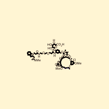 CNN(C)Cc1cc2ccccc2n1CCC(=O)NCCOCCOCCC(=O)Nc1cc(COC(=O)N(C)[C@@H](C)C(=O)O[C@H]2CC(=O)N(C)c3cc(cc(OC)c3Cl)C/C(C)=C/C=C/[C@@H](OC)[C@@]3(O)C[C@H](OC(=O)N3)[C@@H](C)[C@@H]3O[C@]23C)ccc1OC1O[C@H](C(=O)O)[C@@H](O)[C@H](O)[C@H]1O